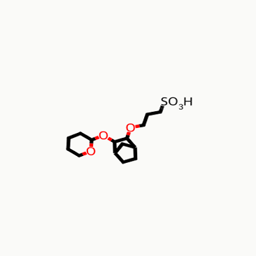 O=S(=O)(O)CCCOC1C2CCC(C2)C1OC1CCCCO1